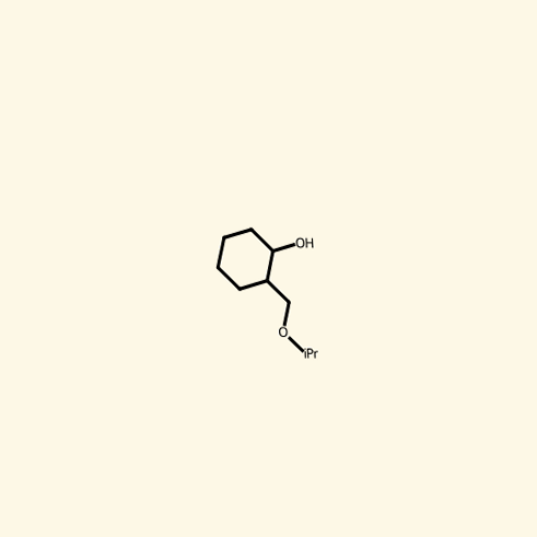 CC(C)OCC1CCCCC1O